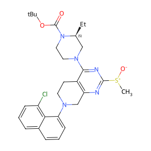 CC[C@H]1CN(c2nc([S+](C)[O-])nc3c2CCN(c2cccc4cccc(Cl)c24)C3)CCN1C(=O)OC(C)(C)C